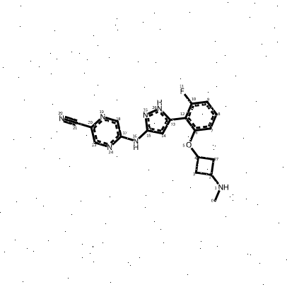 CNC1CC(Oc2cccc(F)c2-c2cc(Nc3cnc(C#N)cn3)n[nH]2)C1